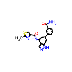 Cc1nc(C(=O)Nc2cc(-c3cccc(C(N)=O)c3)cc3[nH]ncc23)cs1